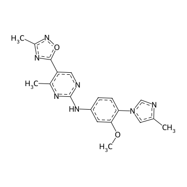 COc1cc(Nc2ncc(-c3nc(C)no3)c(C)n2)ccc1-n1cnc(C)c1